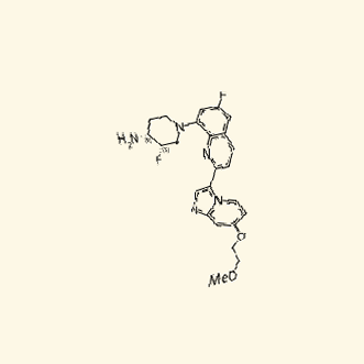 COCCOc1ccn2c(-c3ccc4cc(F)cc(N5CC[C@@H](N)[C@@H](F)C5)c4n3)cnc2c1